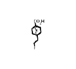 O=C(O)C12CCC(CCF)(CC1)CC2